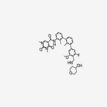 COc1cc(-c2cccc(-c3cccc(NC(=O)c4cn(C)c(=O)n(C)c4=O)c3C)c2C)cc(F)c1CN[C@H]1COCC[C@@H]1O